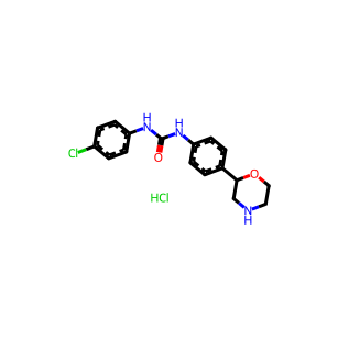 Cl.O=C(Nc1ccc(Cl)cc1)Nc1ccc(C2CNCCO2)cc1